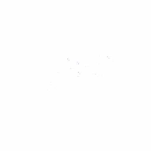 NS(=O)(=O)OCC1C[C@@H](Nc2ncncc2C(=O)c2cc(S(=O)(=O)c3ccccc3)cs2)C[C@@H]1O